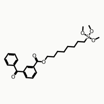 CO[Si](CCCCCCCCOC(=O)c1cccc(C(=O)c2ccccc2)c1)(OC)OC